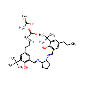 CC(=O)[O-].CC(=O)[O-].CCCc1cc(C=NC2CCCC2N=Cc2cc(CCC)cc(C(C)(C)C)c2O)c(O)c(C(C)(C)C)c1.[Co+2]